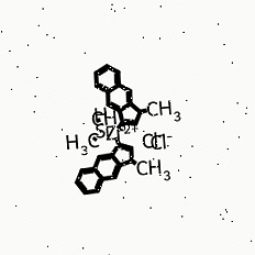 CC1C=[C]([Zr+2]([C]2=CC(C)c3cc4ccccc4cc32)[SiH](C)C)c2cc3ccccc3cc21.[Cl-].[Cl-]